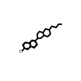 CCCCC1CCC2CC(c3ccc4cc(Cl)ccc4c3)CCC2C1